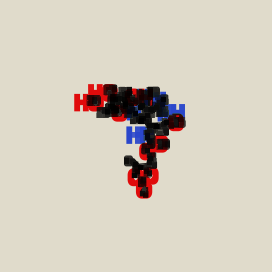 Cc1oc(=O)oc1COC(=O)NC1=CC(=O)Nc2ncnc3c2c1cn3[C@@H]1O[C@H](CO)[C@@H](O)C1(C)O